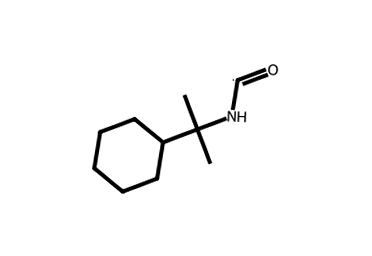 CC(C)(N[C]=O)C1CCCCC1